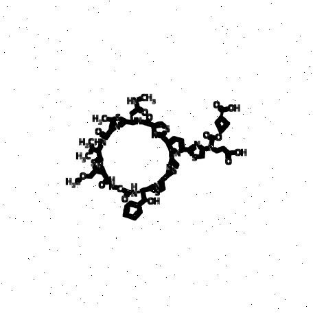 CNC(=O)C[C@@H]1NC(=O)c2csc(n2)-c2ccc(-c3nc(N(CCC(=O)O)C(=O)O[C@H]4C[C@H](C(=O)O)C4)cs3)nc2-c2csc(n2)-c2csc(n2)[C@H]([C@@H](O)c2ccccc2)NC(=O)CNC(=O)c2nc(sc2COC)C(C(C)C)NC(=O)c2nc1sc2C